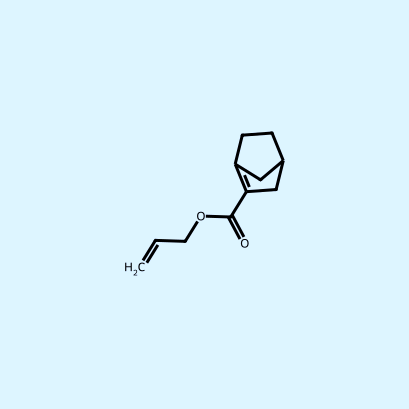 C=CCOC(=O)C1=C2CCC(C2)C1